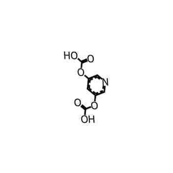 O=C(O)Oc1cncc(OC(=O)O)c1